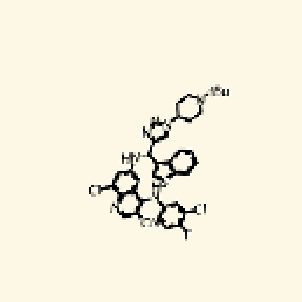 CC(C)(C)N1CCC(n2cc([C@@H](Nc3cc(Cl)c4ncc(C#N)c(Nc5ccc(F)c(Cl)c5)c4c3)c3csc4ccccc34)nn2)CC1